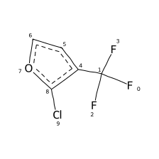 FC(F)(F)c1ccoc1Cl